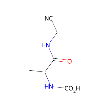 CC(NC(=O)O)C(=O)NCC#N